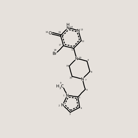 Cn1nccc1CN1CCN(c2cn[nH]c(=O)c2Br)CC1